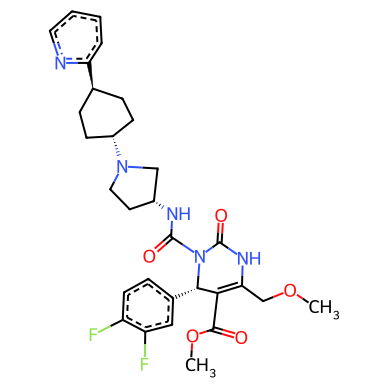 COCC1=C(C(=O)OC)[C@H](c2ccc(F)c(F)c2)N(C(=O)N[C@@H]2CCN([C@H]3CC[C@H](c4ccccn4)CC3)C2)C(=O)N1